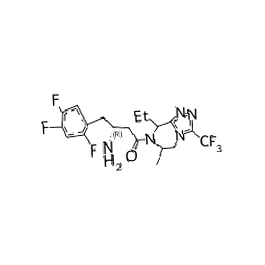 CCC1c2nnc(C(F)(F)F)n2CC(C)N1C(=O)C[C@H](N)Cc1cc(F)c(F)cc1F